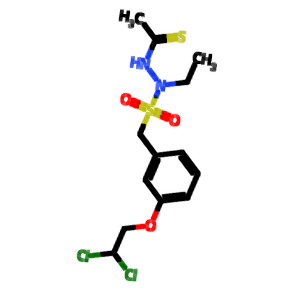 CCN(NC(C)=S)S(=O)(=O)Cc1cccc(OCC(Cl)Cl)c1